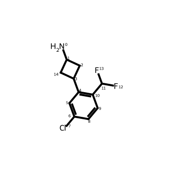 NC1CC(c2cc(Cl)ccc2C(F)F)C1